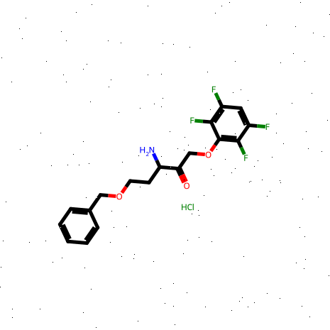 Cl.NC(CCOCc1ccccc1)C(=O)COc1c(F)c(F)cc(F)c1F